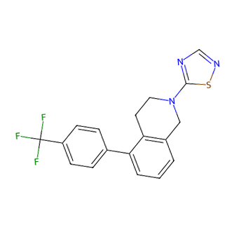 FC(F)(F)c1ccc(-c2cccc3c2CCN(c2ncns2)C3)cc1